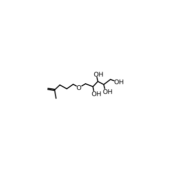 C=C(C)CCCOCC(O)C(O)C(O)CO